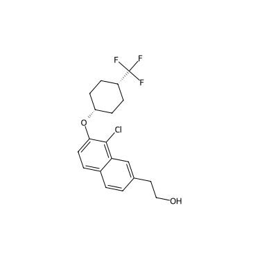 OCCc1ccc2ccc(O[C@H]3CC[C@@H](C(F)(F)F)CC3)c(Cl)c2c1